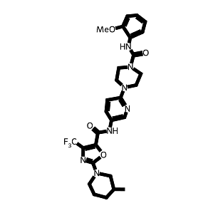 COc1ccccc1NC(=O)N1CCN(c2ccc(NC(=O)c3oc(N4CCCC(C)C4)nc3C(F)(F)F)cn2)CC1